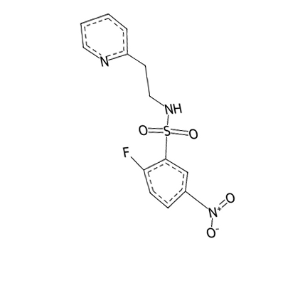 O=[N+]([O-])c1ccc(F)c(S(=O)(=O)NCCc2ccccn2)c1